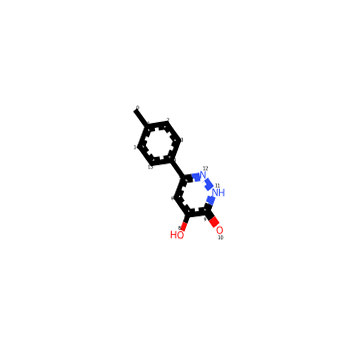 Cc1ccc(-c2cc(O)c(=O)[nH]n2)cc1